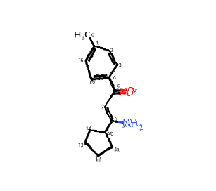 Cc1ccc(C(=O)C=C(N)C2CCCC2)cc1